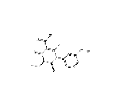 CCn1c(=O)c([N+](=O)[O-])c(C)n(-c2cccc(CF)c2)c1=O